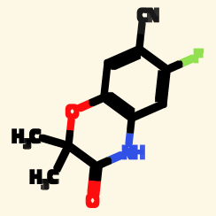 CC1(C)Oc2cc(C#N)c(F)cc2NC1=O